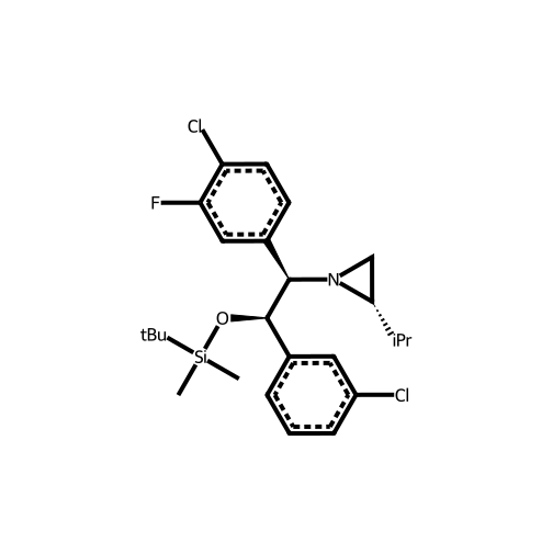 CC(C)[C@H]1CN1[C@H](c1ccc(Cl)c(F)c1)[C@H](O[Si](C)(C)C(C)(C)C)c1cccc(Cl)c1